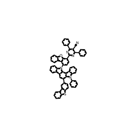 N#Cc1c(-c2ccccc2)nc(-c2ccc(-n3c4ccccc4c4cc(-c5ccc6sc7ccccc7c6c5)c5c(c6ccccc6n5-c5ccccc5)c43)c3c2oc2ccccc23)nc1-c1ccccc1